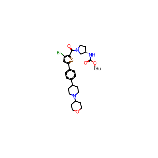 CC(C)(C)OC(=O)N[C@H]1CCN(C(=O)c2sc(-c3ccc(C4CCN(C5CCOCC5)CC4)cc3)cc2Br)C1